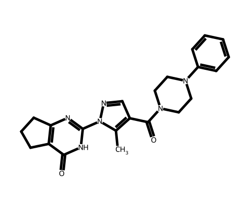 Cc1c(C(=O)N2CCN(c3ccccc3)CC2)cnn1-c1nc2c(c(=O)[nH]1)CCC2